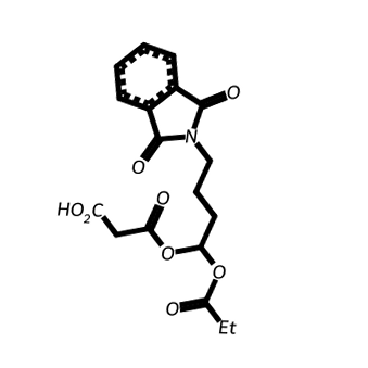 CCC(=O)OC(CCCN1C(=O)c2ccccc2C1=O)OC(=O)CC(=O)O